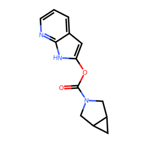 O=C(Oc1cc2cccnc2[nH]1)N1CC2CC2C1